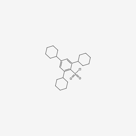 O=S(=O)(Cl)c1c(C2CCCCC2)cc(C2CCCCC2)cc1C1CCCCC1